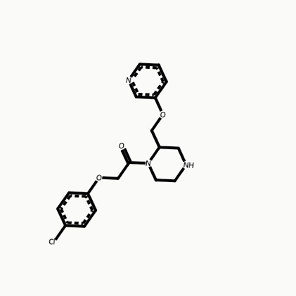 O=C(COc1ccc(Cl)cc1)N1CCNCC1COc1cccnc1